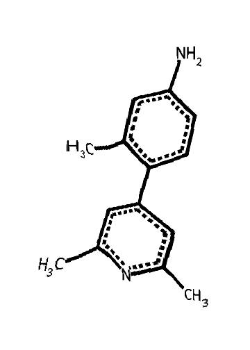 Cc1cc(-c2ccc(N)cc2C)cc(C)n1